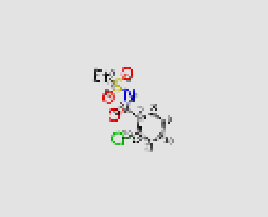 CCS(=O)(=O)[N]C(=O)c1ccccc1Cl